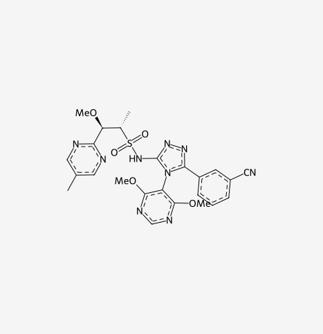 COc1ncnc(OC)c1-n1c(NS(=O)(=O)[C@@H](C)[C@H](OC)c2ncc(C)cn2)nnc1-c1cccc(C#N)c1